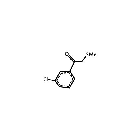 CSCC(=O)c1cccc(Cl)c1